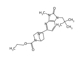 CCCOC(=O)N1CC2CCC1CN2c1ccc2c(n1)n(C)c(=O)n2CC(C)(C)C